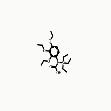 CCOc1ccc(N(C(=O)O)[Si](CC)(CC)CC)c(OCC)c1OCC